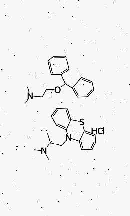 CC(CN1c2ccccc2Sc2ccccc21)N(C)C.CN(C)CCOC(c1ccccc1)c1ccccc1.Cl